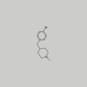 CN1CCC(Cc2ccc(Br)cc2)CC1